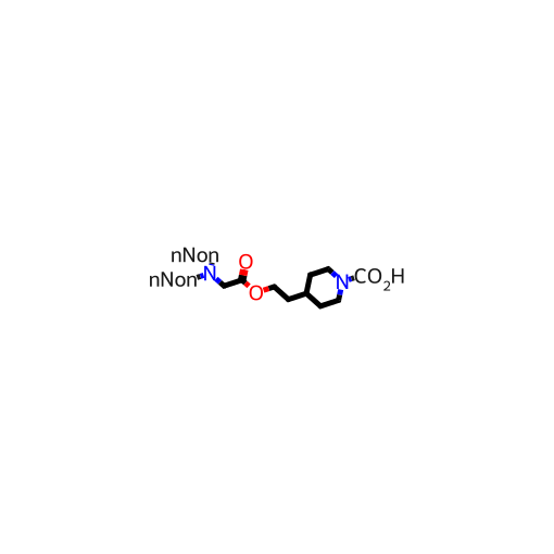 CCCCCCCCCN(CCCCCCCCC)CC(=O)OCCC1CCN(C(=O)O)CC1